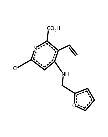 C=Cc1c(NCc2ccco2)cc(Cl)nc1C(=O)O